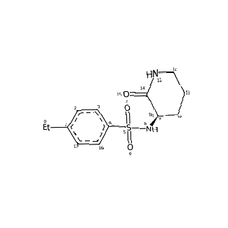 CCc1ccc(S(=O)(=O)N[C@@H]2CCCNC2=O)cc1